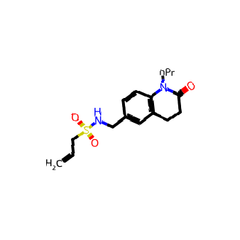 C=CCS(=O)(=O)NCc1ccc2c(c1)CCC(=O)N2CCC